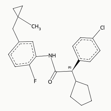 CC1(Cc2ccc(F)c(NC(=O)[C@@H](c3ccc(Cl)cc3)C3CCCC3)c2)CC1